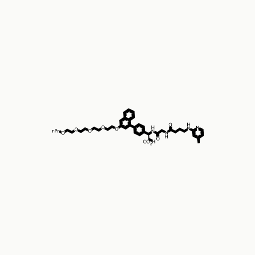 CCCOCCOCCOCCOCCOc1cc(-c2ccc([C@H](CC(=O)O)NC(=O)CNC(=O)CCCNc3cc(C)ccn3)cc2)c2ccccc2c1